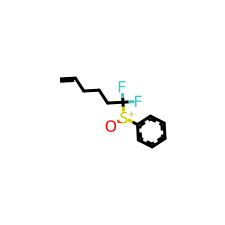 C=CCCCC(F)(F)[S+]([O-])c1ccccc1